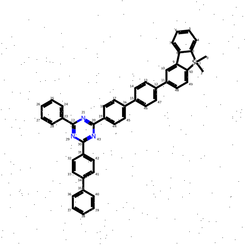 C[Si]1(C)c2ccccc2-c2cc(-c3ccc(-c4ccc(-c5nc(-c6ccccc6)nc(-c6ccc(-c7ccccc7)cc6)n5)cc4)cc3)ccc21